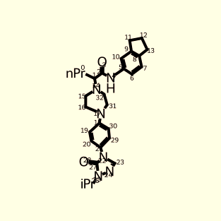 CCCC(C(=O)Nc1ccc2c(c1)CCC2)N1CCN(c2ccc(-n3cnn(C(C)C)c3=O)cc2)CC1